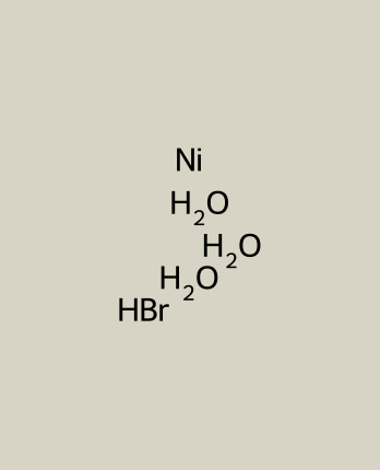 Br.O.O.O.[Ni]